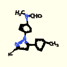 Cc1ccc(-c2cc(C#N)nn2-c2ccc(N(C)C=O)cc2)cc1